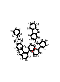 c1ccc(-c2nc3cc4c(cc3o2)oc2cccc(-c3ccc(N(c5ccc6c(c5)sc5ccccc56)c5ccccc5-c5ccccc5)cc3)c24)cc1